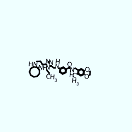 CCCn1c(CNc2cccc(C(=O)NCc3cc4c(cc3C)OCCO4)c2)nnc1C1CCNC2(CCCCCCCC2)N1